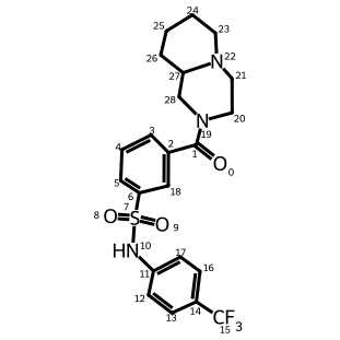 O=C(c1cccc(S(=O)(=O)Nc2ccc(C(F)(F)F)cc2)c1)N1CCN2CCCCC2C1